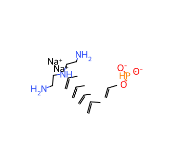 C=CC.C=CC.C=CC.C=CC.C=CC.NCCNCCN.O=[PH]([O-])[O-].[Na+].[Na+]